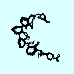 COc1nc(-c2ccnc(-c3cccc(Nc4cccc(CNC5CCN(C(C)=O)CC5)c4F)c3Cl)c2Cl)ccc1CNC[C@H]1CCC(=O)N1